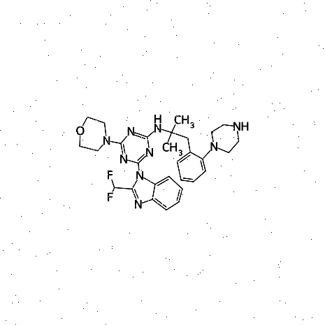 CC(C)(Cc1ccccc1N1CCNCC1)Nc1nc(N2CCOCC2)nc(-n2c(C(F)F)nc3ccccc32)n1